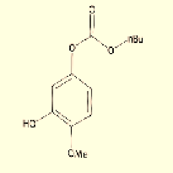 CCCCOC(=O)Oc1ccc(OC)c(O)c1